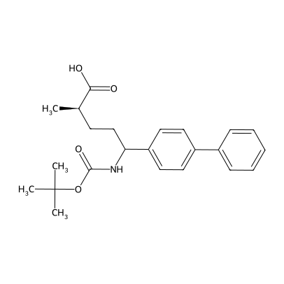 C[C@H](CCC(NC(=O)OC(C)(C)C)c1ccc(-c2ccccc2)cc1)C(=O)O